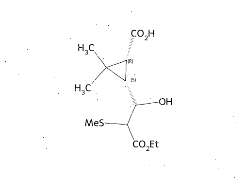 CCOC(=O)C(SC)C(O)[C@H]1[C@@H](C(=O)O)C1(C)C